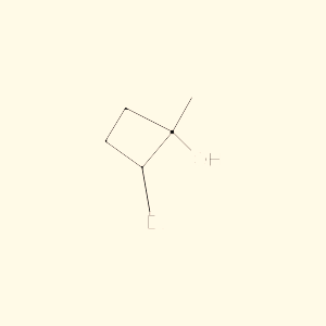 CCC1CCC1(C)O